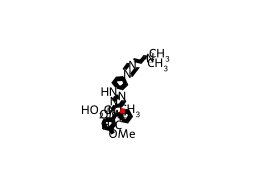 COc1ccc(OC)c(C(c2c(C)cccc2C)N(C(=O)O)c2ccnc(Nc3ccc(N4CCN(CCCN(C)C)CC4)cc3)n2)c1